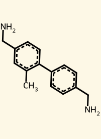 Cc1cc(CN)ccc1-c1ccc(CN)cc1